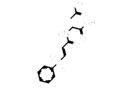 O=C(O)C[C@@H](NC(=O)/C=C/S(=O)(=O)c1ccccc1)C(=O)O